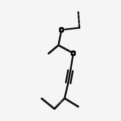 CCOC(C)OC#CC(C)CC